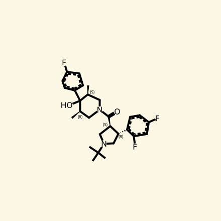 C[C@@H]1CN(C(=O)[C@@H]2CN(C(C)(C)C)C[C@H]2c2ccc(F)cc2F)C[C@H](C)C1(O)c1ccc(F)cc1